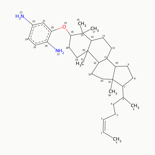 C/C=C\CCC(C)C1CCC2C3CCC4C(C)(C)C(Oc5cc(N)ccc5N)CCC4(C)C3CCC12C